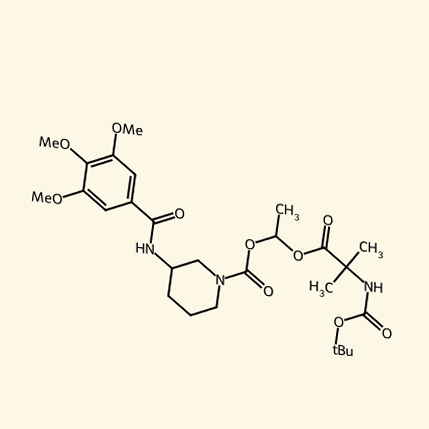 COc1cc(C(=O)NC2CCCN(C(=O)OC(C)OC(=O)C(C)(C)NC(=O)OC(C)(C)C)C2)cc(OC)c1OC